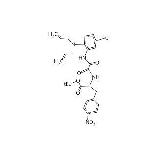 C=CCN(CC=C)c1ccc(Cl)cc1NC(=O)C(=O)NC(Cc1ccc([N+](=O)[O-])cc1)C(=O)OC(C)(C)C